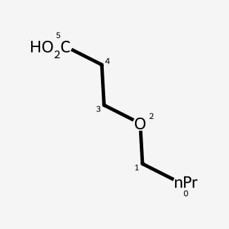 CCCCOCCC(=O)O